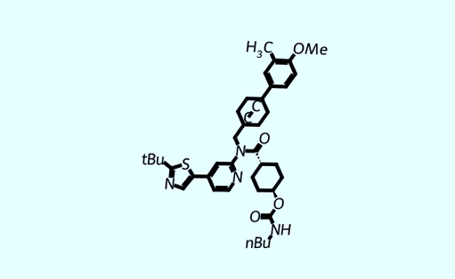 CCCCNC(=O)O[C@H]1CC[C@H](C(=O)N(CC23CCC(c4ccc(OC)c(C)c4)(CC2)CC3)c2cc(-c3cnc(C(C)(C)C)s3)ccn2)CC1